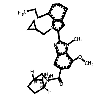 CCCc1cccc2cc(-c3nc4cc(C(=O)N5C[C@H]6CC[C@@H]5[C@@H]6N)cc(OC)c4n3C)n(CC3CC3)c12